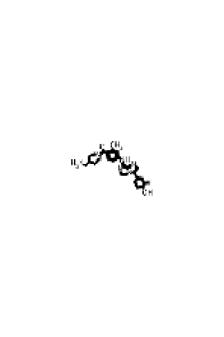 Cc1cc(Nc2nccn3c(-c4ccc(O)c(F)c4)cnc23)ccc1C(=O)N1CCC(CN)CC1